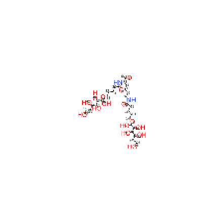 CC(=O)[C@@H](CCCCNC(=O)CCCCOC(O)C(O)C(O)C(O)CCO)NC(=O)CCCCOC(O)C(O)C(O)C(O)CCO